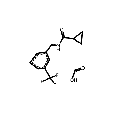 O=C(NCc1cccc(C(F)(F)F)c1)C1CC1.O=CO